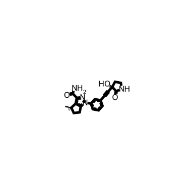 C[C@@H]1CCc2c1c(C(N)=O)nn2-c1cccc(C#C[C@]2(O)CCNC2=O)c1